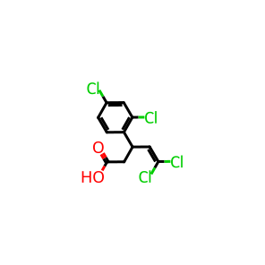 O=C(O)CC(C=C(Cl)Cl)c1ccc(Cl)cc1Cl